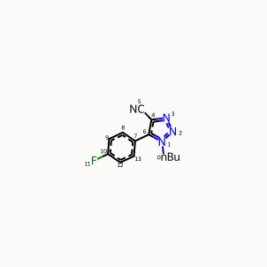 CCCCn1nnc(C#N)c1-c1ccc(F)cc1